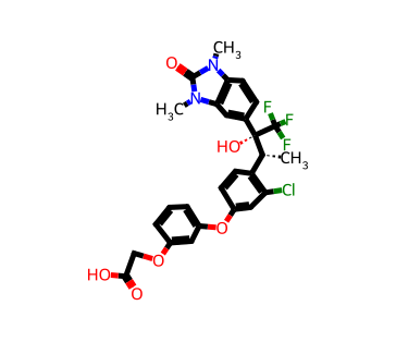 C[C@H](c1ccc(Oc2cccc(OCC(=O)O)c2)cc1Cl)[C@@](O)(c1ccc2c(c1)n(C)c(=O)n2C)C(F)(F)F